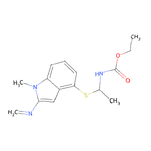 C=Nc1cc2c(SC(C)NC(=O)OCC)cccc2n1C